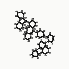 c1ccc(-c2ccc3c4c(cccc24)-c2ccccc2-3)c(-c2ccc(-c3c4ccccc4c(-c4cccc5c4oc4ccccc45)c4ccccc34)cc2)c1